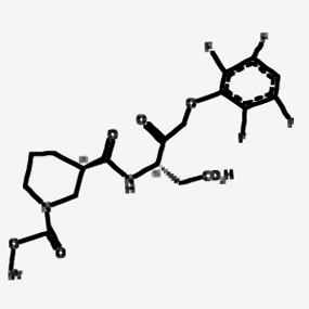 CC(C)OC(=O)N1CCC[C@@H](C(=O)N[C@@H](CC(=O)O)C(=O)COc2c(F)c(F)cc(F)c2F)C1